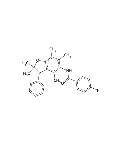 Cc1c(C)c2c(c(C)c1NC(=O)c1ccc(F)cc1)C(c1ccccc1)C(C)(C)O2